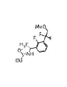 COCC(F)(F)c1cccc([C@@H](C)N[S@+]([O-])C(C)(C)C)c1F